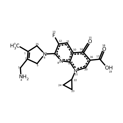 CC1=C(CN)CN(c2nc3c(cc2F)c(=O)c(C(=O)O)cn3C2CC2)C1